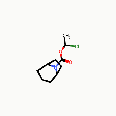 CC(Cl)OC(=O)N1C2CCCC1CC2